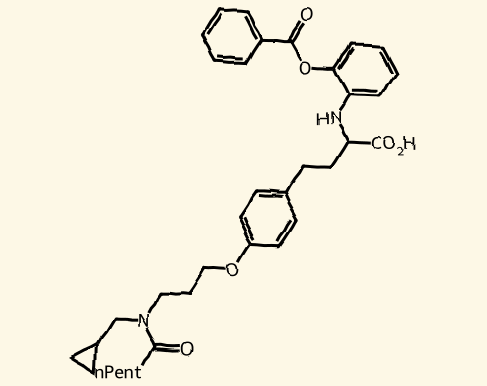 CCCCCC(=O)N(CCCOc1ccc(CCC(Nc2ccccc2OC(=O)c2ccccc2)C(=O)O)cc1)CC1CC1